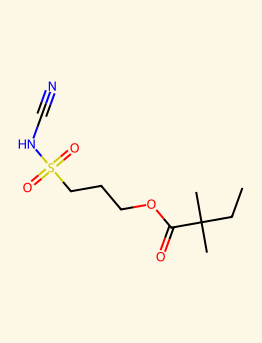 CCC(C)(C)C(=O)OCCCS(=O)(=O)NC#N